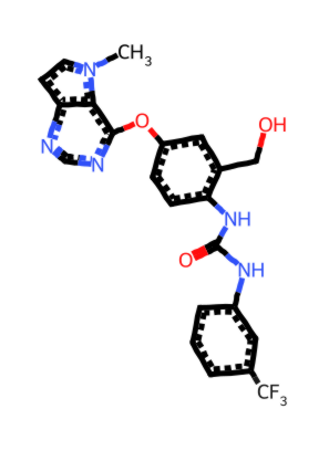 Cn1ccc2ncnc(Oc3ccc(NC(=O)Nc4cccc(C(F)(F)F)c4)c(CO)c3)c21